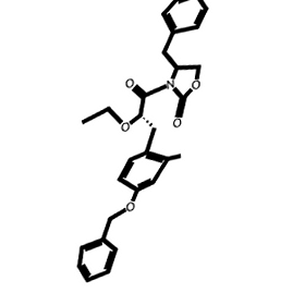 CCO[C@@H](Cc1ccc(OCc2ccccc2)cc1C)C(=O)N1C(=O)OCC1Cc1ccccc1